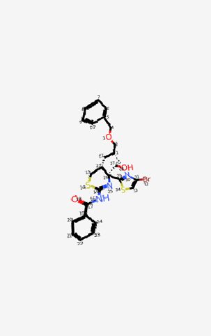 C[C@@H](COCc1ccccc1)C[C@H]1CSC(NC(=O)c2ccccc2)=N[C@]1(CO)c1nc(Br)cs1